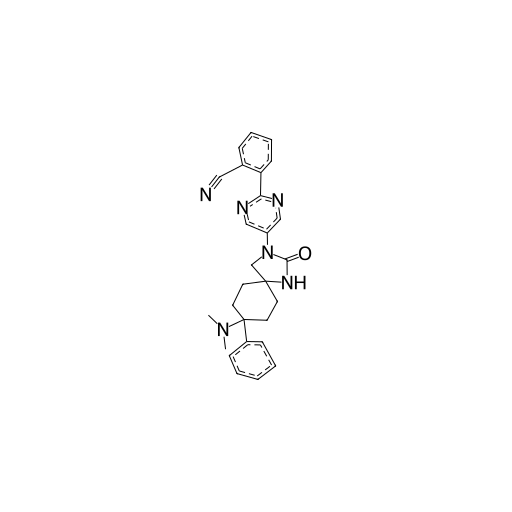 CN(C)C1(c2ccccc2)CCC2(CC1)CN(c1cnc(-c3ccccc3C#N)nc1)C(=O)N2